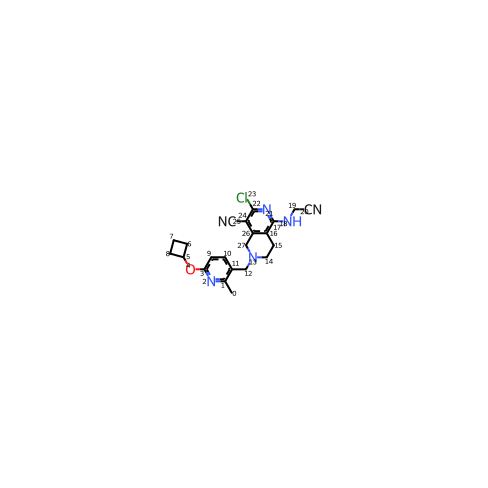 Cc1nc(OC2CCC2)ccc1CN1CCc2c(NCC#N)nc(Cl)c(C#N)c2C1